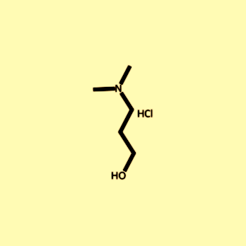 CN(C)CCCO.Cl